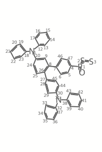 O=P(=S=S)c1ccc(-c2cc(N(c3ccccc3)c3ccccc3)ccc2-c2ccc(N(c3ccccc3)c3ccccc3)cc2)cc1